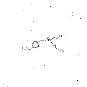 C=Cc1ccc(CCO[SiH](CCC)COCC)cc1